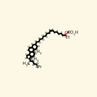 CCC(CCCCC/C=C\CCCCCCCCC1CC[C@@]2(C)C(=CCC3C2CC[C@@]2(C)C3CC[C@@H]2[C@H](C)CCCC(C)C)C1)OC(=O)O